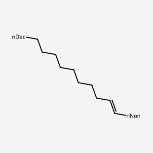 [CH2]CCCCCCCCC=CCCCCCCCCCCCCCCCCC[CH2]